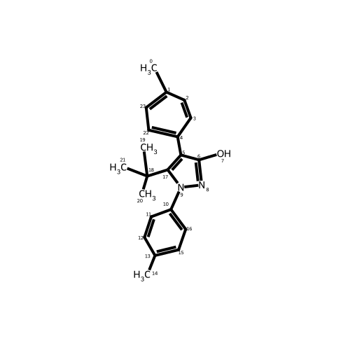 Cc1ccc(-c2c(O)nn(-c3ccc(C)cc3)c2C(C)(C)C)cc1